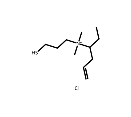 C=CCC(CC)[N+](C)(C)CCCS.[Cl-]